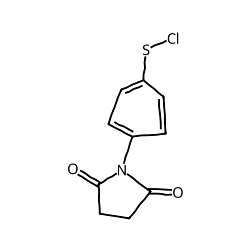 O=C1CCC(=O)N1c1ccc(SCl)cc1